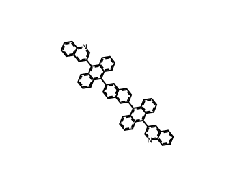 c1ccc2ncc(-c3c4ccccc4c(-c4ccc5cc(-c6c7ccccc7c(-c7cnc8ccccc8c7)c7ccccc67)ccc5c4)c4ccccc34)cc2c1